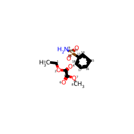 CCOC(=O)C(=O)OC.NS(=O)(=O)c1ccccc1